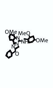 COc1ccc(CNc2nc3c(OC)cccc3c3nc(C(=O)c4ccccc4)cn23)c(OC)c1